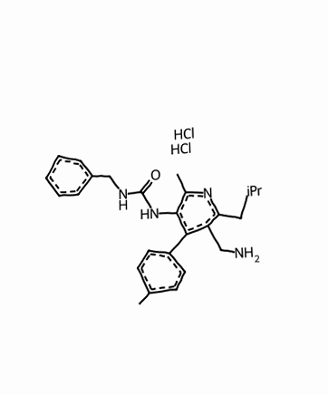 Cc1ccc(-c2c(CN)c(CC(C)C)nc(C)c2NC(=O)NCc2ccccc2)cc1.Cl.Cl